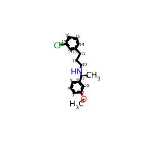 COc1cccc([C@H](C)NCCCc2cccc(Cl)c2)c1